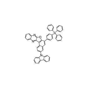 c1ccc([Si](c2ccccc2)(c2ccccc2)c2ccc(-c3cc4cc(-n5c6ccccc6c6ccccc65)ccc4c4c3oc3nc5ccccc5nc34)cc2)cc1